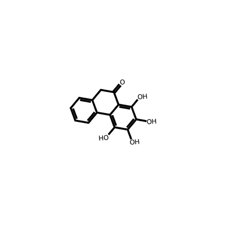 O=C1Cc2ccccc2-c2c(O)c(O)c(O)c(O)c21